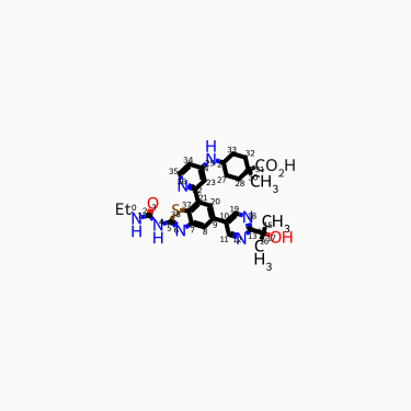 CCNC(=O)Nc1nc2cc(-c3cnc(C(C)(C)O)nc3)cc(-c3cc(NC4CCC(C)(C(=O)O)CC4)ccn3)c2s1